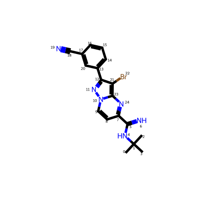 CC(C)(C)NC(=N)c1ccn2nc(-c3cccc(C#N)c3)c(Br)c2n1